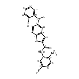 CN(c1ccc2oc(C(=O)Nc3cc(F)ccc3N)cc2c1)c1ccccc1F